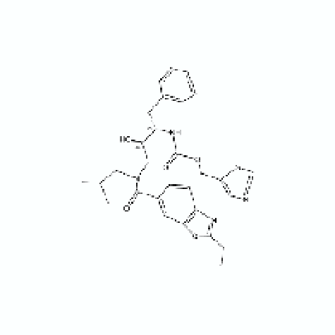 CCc1nc2ccc(C(=O)N(CC(C)C)C[C@@H](O)[C@H](Cc3ccccc3)NC(=O)OCc3cncs3)cc2o1